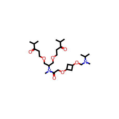 CC(C)C(=O)CCOCC(COCCC(=O)C(C)C)N(C)C(=O)COC1CC(OCN(C)C(C)C)C1